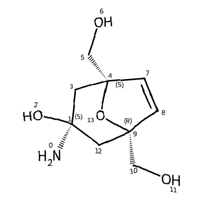 N[C@]1(O)C[C@@]2(CO)C=C[C@@](CO)(C1)O2